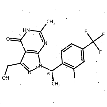 Cc1nc2c(c(CO)nn2[C@H](C)c2ccc(C(F)(F)F)cc2I)c(=O)[nH]1